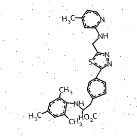 Cc1ccnc(NCc2nnc(-c3ccc(CC(Nc4c(C)cc(C)cc4C)C(=O)O)cc3)s2)c1